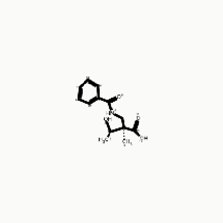 C[C@@H](O)[C@@](C)(CNC(=O)c1ccccc1)C(=O)O